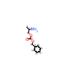 CC(N)COC(=O)OCc1ccccc1